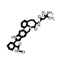 CCNC(=O)c1ccccc1-c1cc2cc(CN3C(=O)C(NC(=O)CC(C)(C)N)CCc4ccccc43)ccc2[nH]1